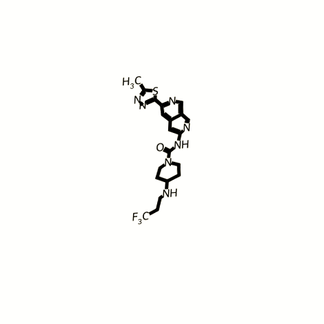 Cc1nnc(-c2cc3cc(NC(=O)N4CCC(NCCC(F)(F)F)CC4)ncc3cn2)s1